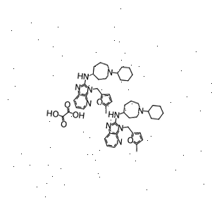 Cc1ccc(Cn2c(NC3CCCN(C4CCCCC4)CC3)nc3cccnc32)o1.Cc1ccc(Cn2c(NC3CCCN(C4CCCCC4)CC3)nc3cccnc32)o1.O=C(O)C(=O)O